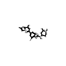 Cc1cn2nc(-c3cc(F)c4nc(N(C)C5CCN(C)C(C)C5)oc4c3)cc(C)c2n1